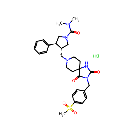 CN(C)C(=O)N1C[C@H](CN2CCC3(CC2)NC(=O)N(Cc2ccc(S(C)(=O)=O)cc2)C3=O)[C@@H](c2ccccc2)C1.Cl